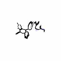 C=C(/C=C\C(C)=C/C)CN1CCC(=C2C(CC)=C(SCC)C(=C)Cc3ccccc32)CC1